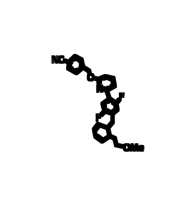 COCCC1C=CC=CC1Cc1cc(F)c(-c2cccc(OCc3ccc(C#N)cc3)n2)cc1F